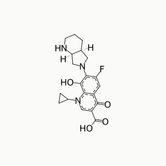 O=C(O)c1cn(C2CC2)c2c(O)c(N3C[C@@H]4CCCN[C@@H]4C3)c(F)cc2c1=O